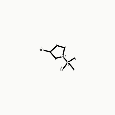 CC[Si](C)(C)N1CCC(O)C1